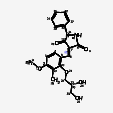 CCCOc1ccc(/C=C2/C(=O)NN(c3ccccc3)C2=O)c(OC[C@H](O)CO)c1C